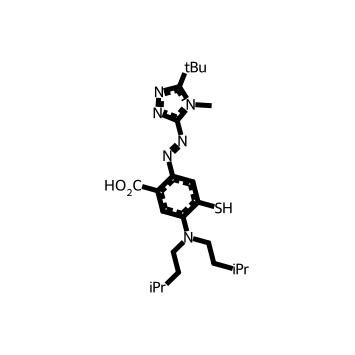 CC(C)CCN(CCC(C)C)c1cc(C(=O)O)c(N=Nc2nnc(C(C)(C)C)n2C)cc1S